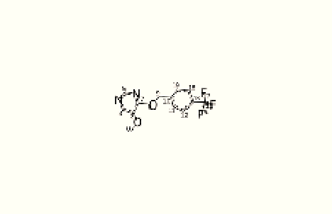 COc1cncnc1OCc1ccc(C(F)(F)F)cc1